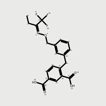 CCC(=NOCc1cccc(Cc2ccc(C(=O)O)cc2C(=O)O)c1)C(F)(F)F